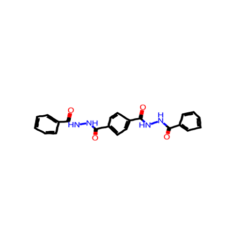 O=C(NNC(=O)c1ccc(C(=O)NNC(=O)c2ccccc2)cc1)c1ccccc1